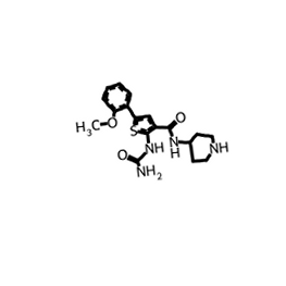 COc1ccccc1-c1cc(C(=O)NC2CCNCC2)c(NC(N)=O)s1